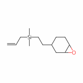 C=CC[Si](C)(C)CCC1CCC2OC2C1